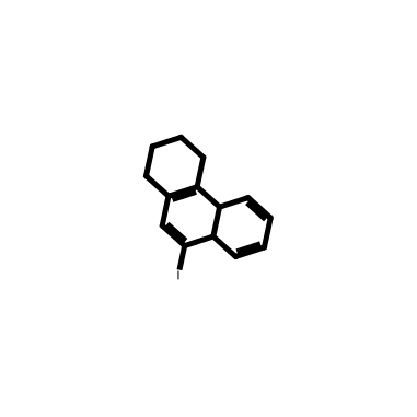 IC1=CC2=C(CCCC2)C2C=CC=CC12